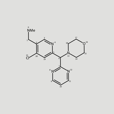 CNCc1cnc(C(c2ncccn2)N2CCOCC2)cc1Cl